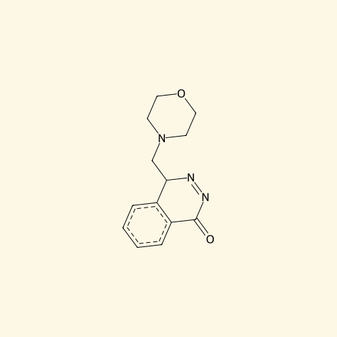 O=C1N=NC(CN2CCOCC2)c2ccccc21